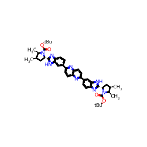 C[C@@H]1C[C@@H](c2nc3ccc(-c4ccc5nc(-c6ccc7nc([C@@H]8C[C@@H](C)[C@@H](C)N8C(=O)OC(C)(C)C)[nH]c7c6)ccc5n4)cc3[nH]2)N(C(=O)OC(C)(C)C)[C@@H]1C